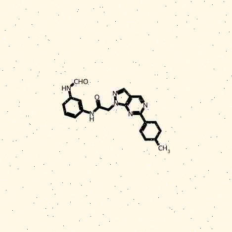 CC1CC=C(c2ncc3cnn(CC(=O)NC4=CC(NC=O)CC=C4)c3n2)CC1